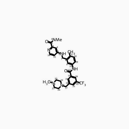 CNC(=O)c1cc(NCc2cc(NC(=O)c3cc(CN4CCN(C)CC4)cc(C(F)(F)F)c3)ccc2C)ccn1